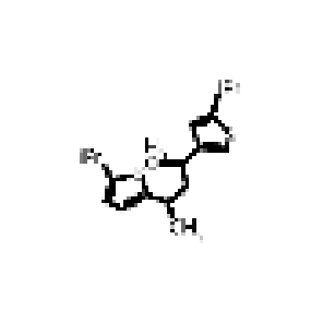 CC(C)c1cc(C(C)CC(C)c2ccc(C(C)C)s2)cs1